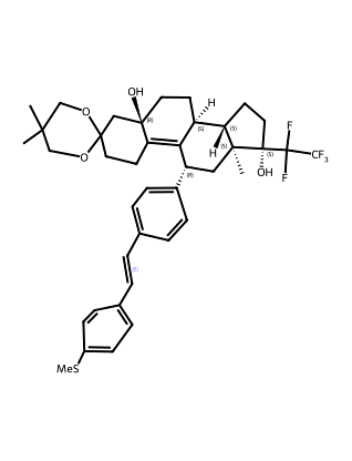 CSc1ccc(/C=C/c2ccc([C@H]3C[C@@]4(C)[C@@H](CC[C@@]4(O)C(F)(F)C(F)(F)F)[C@@H]4CC[C@@]5(O)CC6(CCC5=C43)OCC(C)(C)CO6)cc2)cc1